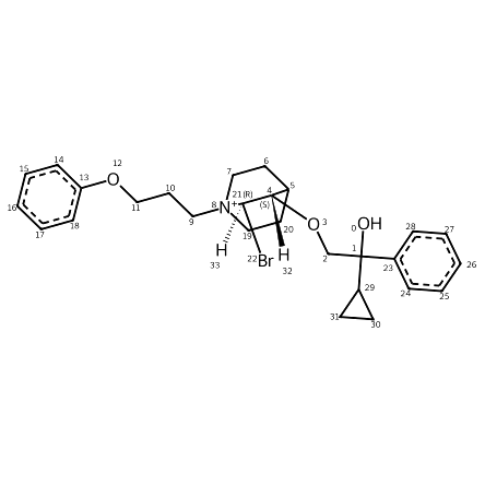 OC(CO[C@H]1C2CC[N+](CCCOc3ccccc3)(CC2)[C@@H]1Br)(c1ccccc1)C1CC1